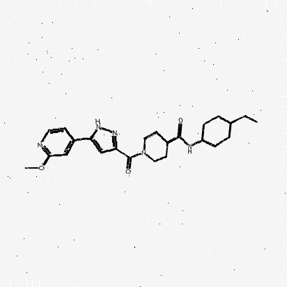 CCC1CCC(NC(=O)C2CCN(C(=O)c3cc(-c4ccnc(OC)c4)[nH]n3)CC2)CC1